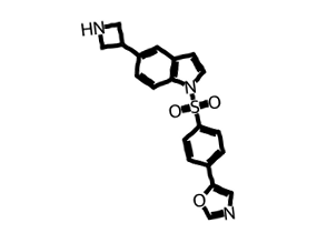 O=S(=O)(c1ccc(-c2cnco2)cc1)n1ccc2cc(C3CNC3)ccc21